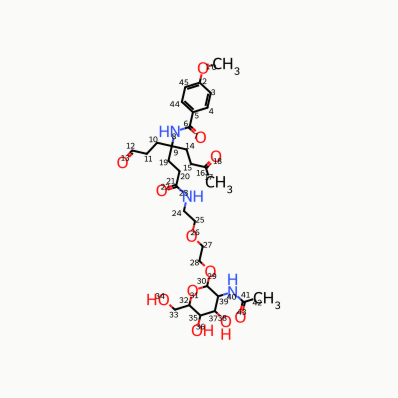 COc1ccc(C(=O)NC(CCC=O)(CCC(C)=O)CCC(=O)NCCOCCOC2OC(CO)C(O)C(O)C2NC(C)=O)cc1